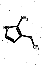 Nc1[nH]ccc1SC(F)(F)F